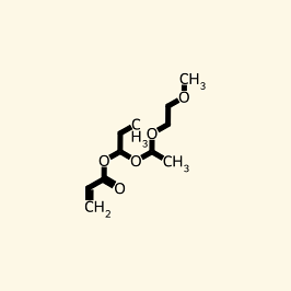 C=CC(=O)OC(CC)OC(C)OCCOC